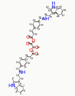 Cc1[nH]c2ccccc2c1CCNCc1ccc(C=CC(=O)OC(=O)C(=O)OC(=O)C=Cc2ccc(CNCCc3c(C)[nH]c4ccccc34)cc2)cc1